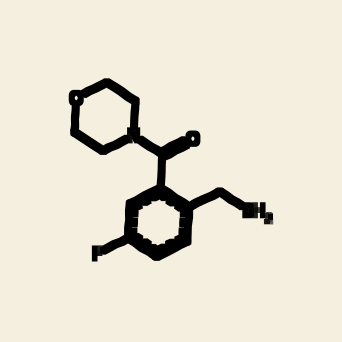 BCc1ccc(F)cc1C(=O)N1CCOCC1